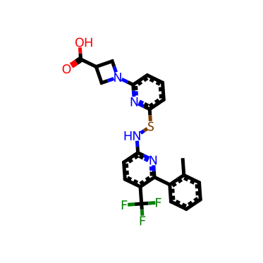 Cc1ccccc1-c1nc(NSc2cccc(N3CC(C(=O)O)C3)n2)ccc1C(F)(F)F